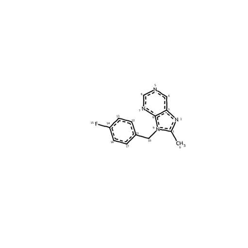 Cc1nc2cncnc2n1Cc1ccc(F)cc1